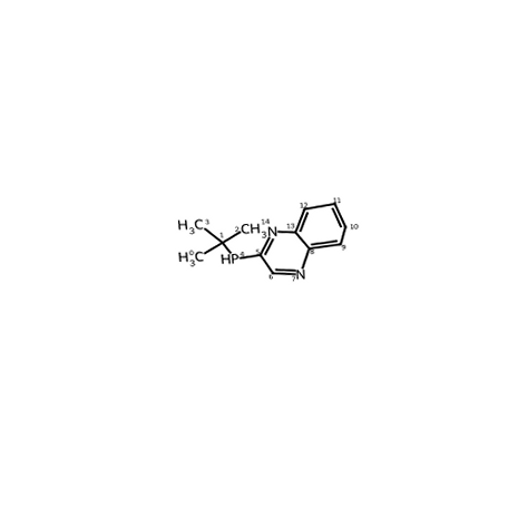 CC(C)(C)Pc1cnc2ccccc2n1